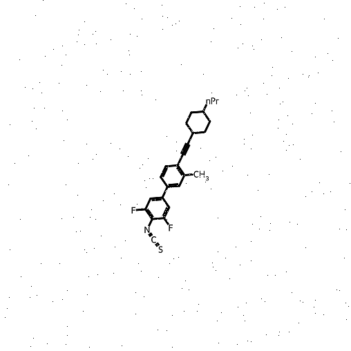 CCCC1CCC(C#Cc2ccc(-c3cc(F)c(N=C=S)c(F)c3)cc2C)CC1